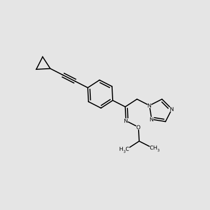 CC(C)O/N=C(\Cn1cncn1)c1ccc(C#CC2CC2)cc1